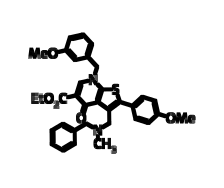 CCOC(=O)c1cn(Cc2cccc(OC)c2)c2sc(-c3ccc(OC)cc3)c(CN(C)Cc3ccccc3)c2c1=O